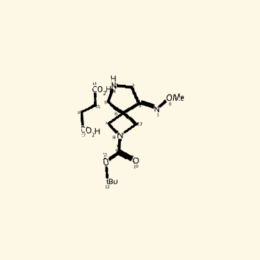 CO/N=C1\CNCC12CN(C(=O)OC(C)(C)C)C2.O=C(O)CCC(=O)O